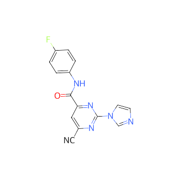 N#Cc1cc(C(=O)Nc2ccc(F)cc2)nc(-n2ccnc2)n1